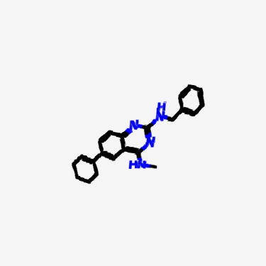 CNc1nc(NCc2ccccc2)nc2ccc(C3=CCCCC3)cc12